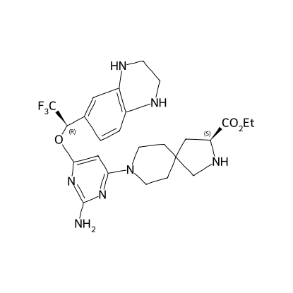 CCOC(=O)[C@@H]1CC2(CCN(c3cc(O[C@H](c4ccc5c(c4)NCCN5)C(F)(F)F)nc(N)n3)CC2)CN1